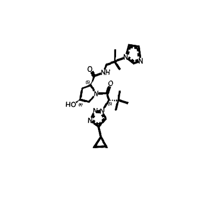 CC(C)(C)[C@@H](C(=O)N1C[C@H](O)C[C@H]1C(=O)NCC(C)(C)n1ccnc1)n1cc(C2CC2)nn1